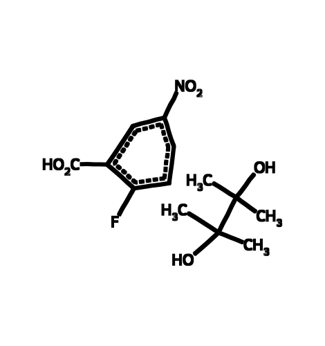 CC(C)(O)C(C)(C)O.O=C(O)c1cc([N+](=O)[O-])ccc1F